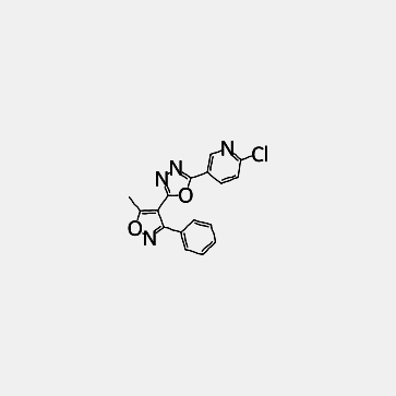 Cc1onc(-c2ccccc2)c1-c1nnc(-c2ccc(Cl)nc2)o1